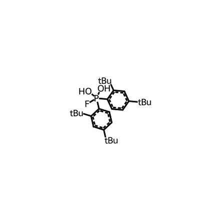 CC(C)(C)c1ccc(P(O)(O)(F)c2ccc(C(C)(C)C)cc2C(C)(C)C)c(C(C)(C)C)c1